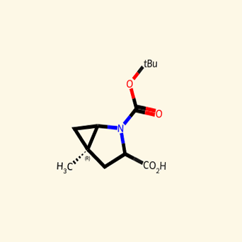 CC(C)(C)OC(=O)N1C(C(=O)O)C[C@@]2(C)CC12